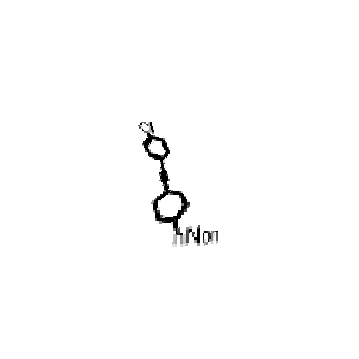 CCCCCCCCCC1CCC(C#Cc2ccc(Cl)cc2)CC1